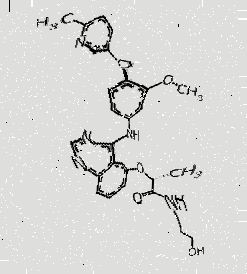 COc1cc(Nc2ncnc3cccc(O[C@H](C)C(=O)NCCO)c23)ccc1Oc1ccc(C)nc1